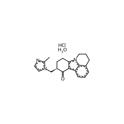 Cc1nccn1C[C@H]1CCc2c(c3cccc4c3n2CCC4)C1=O.Cl.O